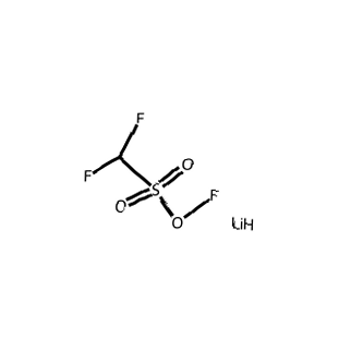 O=S(=O)(OF)C(F)F.[LiH]